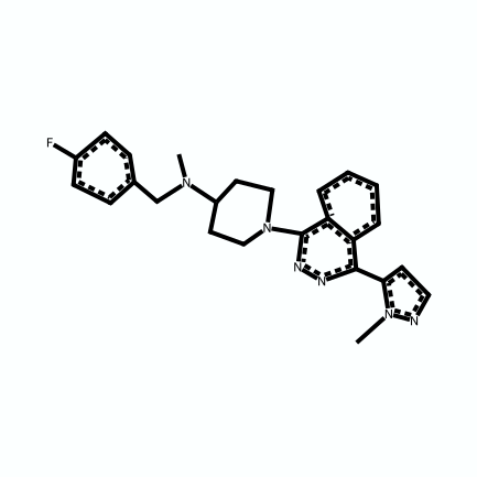 CN(Cc1ccc(F)cc1)C1CCN(c2nnc(-c3ccnn3C)c3ccccc23)CC1